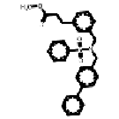 COC(=O)CCc1cccc(CN(Cc2ccc(-c3ccccc3)cc2)S(=O)(=O)c2ccccc2)c1